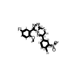 COc1ccc(F)cc1-c1nnc2n1N=C(c1ccc(C)c([N+](=O)[O-])c1)CS2